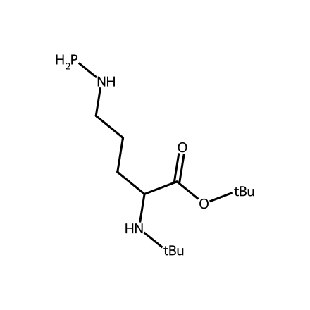 CC(C)(C)NC(CCCNP)C(=O)OC(C)(C)C